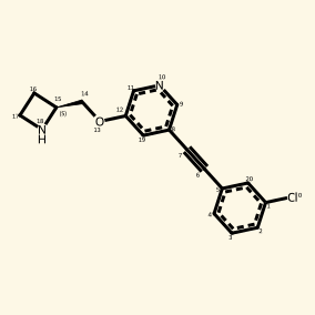 Clc1cccc(C#Cc2cncc(OC[C@@H]3CCN3)c2)c1